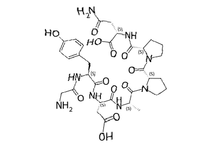 C[C@H](NC(=O)[C@H](CC(=O)O)NC(=O)[C@H](Cc1ccc(O)cc1)NC(=O)CN)C(=O)N1CCC[C@H]1C(=O)N1CCC[C@H]1C(=O)N[C@@H](CC(N)=O)C(=O)O